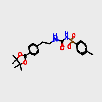 Cc1ccc(S(=O)(=O)NC(=O)NCCc2ccc(B3OC(C)(C)C(C)(C)O3)cc2)cc1